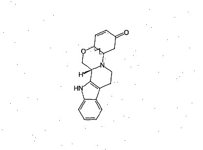 O=C1C=C[C@@]23CCC[C@]2(C1)N1CCc2c([nH]c4ccccc24)[C@@H]1CO3